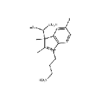 CCCCC(C(=O)O)C1(C)C(C)=[N+](CCCS(=O)(=O)O)c2ccc(I)cc21